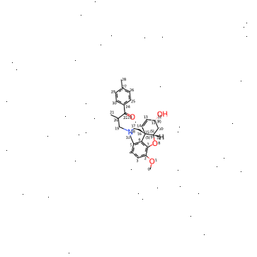 COc1ccc2c3c1O[C@H]1C[C@@H](O)C=C[C@@]31CCN(CC(C)C(=O)c1ccc(C)cc1)C2